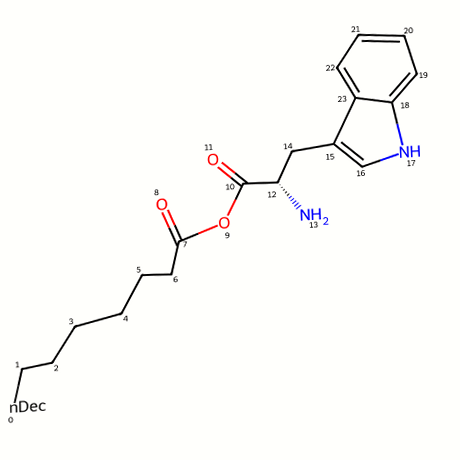 CCCCCCCCCCCCCCCCC(=O)OC(=O)[C@@H](N)Cc1c[nH]c2ccccc12